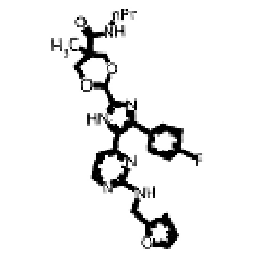 CCCNC(=O)C1(C)COC(c2nc(-c3ccc(F)cc3)c(-c3ccnc(NCc4ccco4)n3)[nH]2)OC1